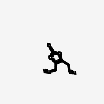 CC(C)(C)Cc1oc(=O)oc1CC(C)(C)C